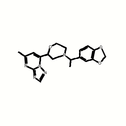 Cc1cc(C2CN(C(C)c3ccc4c(c3)OCO4)CCO2)n2ncnc2n1